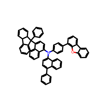 C1=CC2c3ccccc3C(c3ccccc3)(c3ccc(N(c4ccc(-c5cccc6c5oc5ccccc56)cc4)c4ccc(-c5ccccc5)c5ccccc45)c4ccccc34)C2C=C1